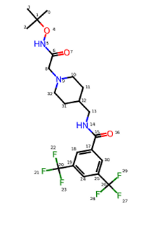 CC(C)(C)ONC(=O)CN1CCC(CNC(=O)c2cc(C(F)(F)F)cc(C(F)(F)F)c2)CC1